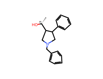 C[C@@H](O)C1CN(Cc2ccccc2)CC1c1ccccc1